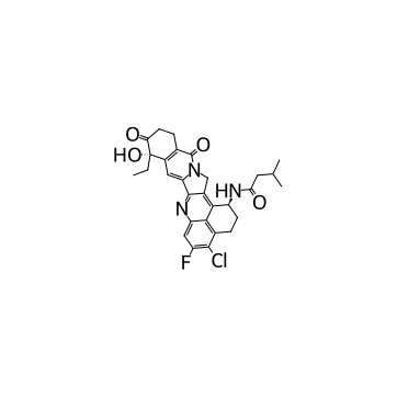 CC[C@@]1(O)C(=O)CCc2c1cc1n(c2=O)Cc2c-1nc1cc(F)c(Cl)c3c1c2[C@@H](NC(=O)CC(C)C)CC3